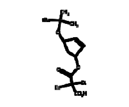 CCC(CC)(C(=O)O)C(=O)OC1C=CC(O[Si](C)(C)C(C)(C)C)C1